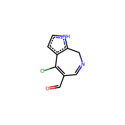 O=CC1=C(Cl)c2cc[nH]c2CN=C1